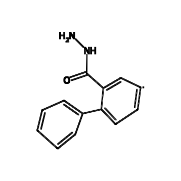 NNC(=O)c1c[c]ccc1-c1ccccc1